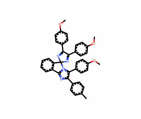 COc1ccc(C2=NC3(N=C2c2ccc(OC)cc2)c2ccccc2-c2nc(-c4ccc(C)cc4)c(-c4ccc(OC)cc4)n23)cc1